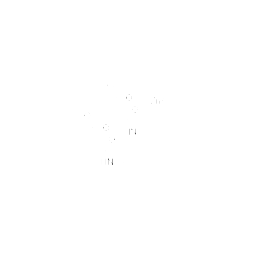 O=C([O-])/C=C\C(=O)NC1CCCCC1.O=C([O-])/C=C\C(=O)NC1CCCCC1.[Zn+2]